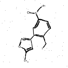 CCC[S+]([O-])c1ccc(CF)c(-c2cc(C(F)(F)F)on2)c1